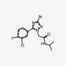 CC(C)NC(=O)Cn1nc(Br)nc1-c1ccc(F)c(Cl)c1